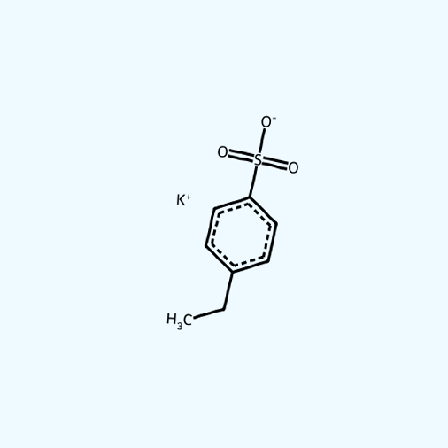 CCc1ccc(S(=O)(=O)[O-])cc1.[K+]